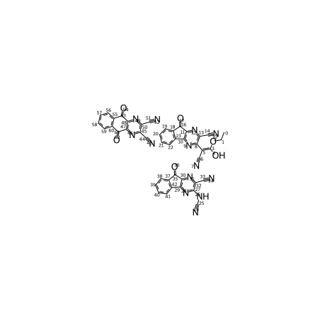 CCOC(O)=C(C#N)c1nc2c(nc1C#N)C(=O)c1ccccc1-2.N#CNc1nc2c(nc1C#N)C(=O)c1ccccc1-2.N#Cc1nc2c(nc1C#N)C(=O)c1ccccc1C2=O